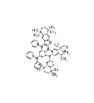 CC(C)c1cc2c(cc1C(C)(C)CI)B1c3oc4cc5c(cc4c3N(c3ccccc3)c3cc(N(c4ccccc4)c4ccccc4)cc(c31)N2c1ccc2c(c1)C(C)(C)CCC2(C)C)C(C)(C)CCC5(C)C